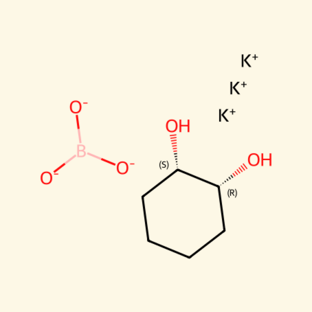 O[C@@H]1CCCC[C@@H]1O.[K+].[K+].[K+].[O-]B([O-])[O-]